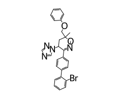 CC1(COc2ccccc2)CC(n2cncn2)C(c2ccc(-c3ccccc3Br)cc2)=NO1